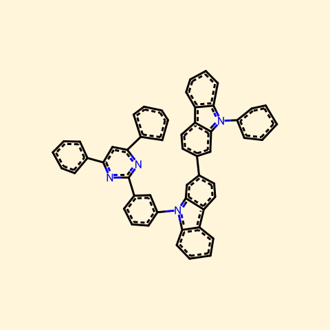 c1ccc(-c2cc(-c3ccccc3)nc(-c3cccc(-n4c5ccccc5c5ccc(-c6ccc7c8ccccc8n(-c8ccccc8)c7c6)cc54)c3)n2)cc1